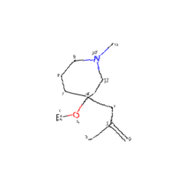 C=C(C)CC1(OCC)CCCN(C)C1